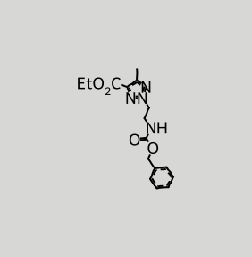 CCOC(=O)c1nn(CCNC(=O)OCc2ccccc2)nc1C